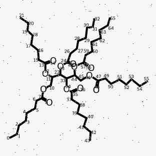 CCCCCCCC(=O)OCC(OC(=O)CCCCCCC)C(OC(=O)CCCCCCC)C(OC(=O)CCCCCCC)C(COC(=O)CCCCCCC)OC(=O)CCCCCCC